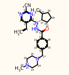 C=Cc1cnc(C#N)nc1N(NC(=O)c1ccc(CN2CCN(C)CC2)cc1)[C@H]1CCCC1C